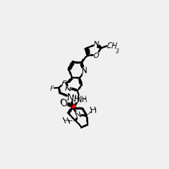 Cc1ncc(-c2ccc3cnc(NC(=O)N4[C@@H]5CC[C@H]4CC(NCC(F)F)C5)cc3n2)o1